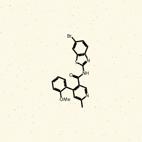 COc1ccccc1-c1cc(C)ncc1C(=O)Nc1nc2ccc(Br)cc2s1